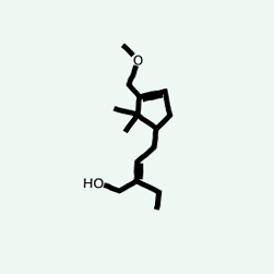 CC/C(=C\CC1CC=C(COC)C1(C)C)CO